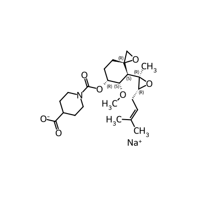 CO[C@@H]1[C@H](OC(=O)N2CCC(C(=O)[O-])CC2)CC[C@]2(CO2)[C@H]1[C@@]1(C)O[C@@H]1CC=C(C)C.[Na+]